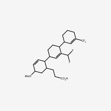 COC1C=CC(C2C=C(C(F)F)C(C3C=C(C(F)(F)F)CCC3)CC2)C(CCC(=O)O)C1